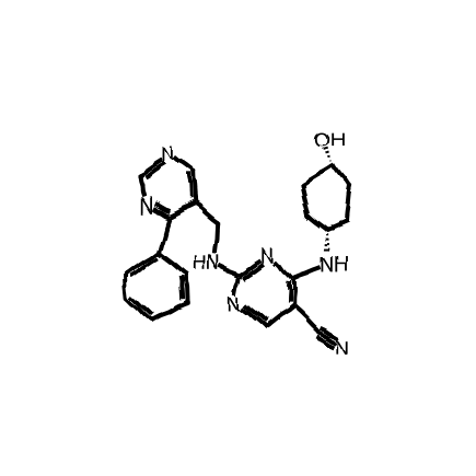 N#Cc1cnc(NCc2cncnc2-c2ccccc2)nc1N[C@H]1CC[C@@H](O)CC1